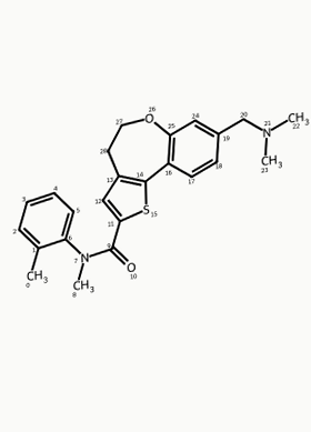 Cc1ccccc1N(C)C(=O)c1cc2c(s1)-c1ccc(CN(C)C)cc1OCC2